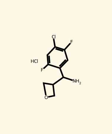 Cl.NC(c1cc(F)c(Cl)cc1F)C1COC1